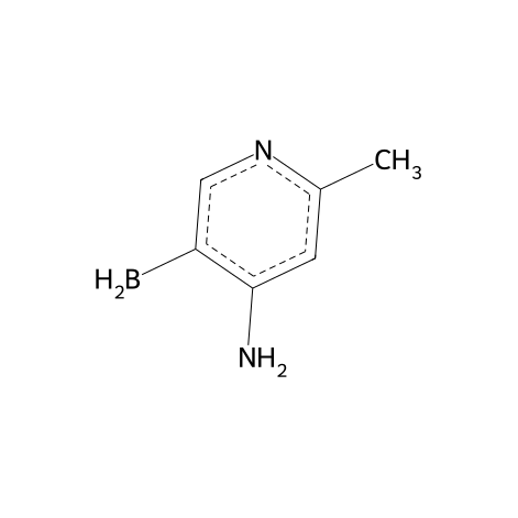 Bc1cnc(C)cc1N